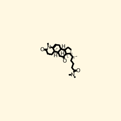 C[C@H](CCCC(=O)N(C)C)[C@H]1CC[C@H]2[C@@H]3CC=C4N(C)C(=O)CC[C@]4(C)[C@H]3CC(=O)[C@]12C